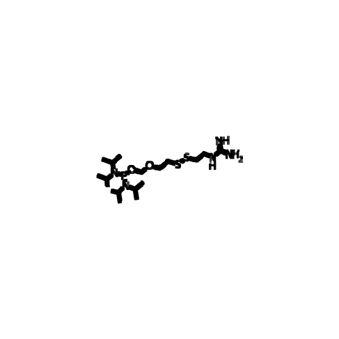 CC(C)N(C(C)C)P(OCOCCSSCCNC(=N)N)N(C(C)C)C(C)C